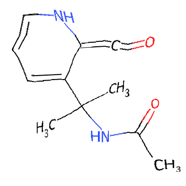 CC(=O)NC(C)(C)C1=CC=CNC1=C=O